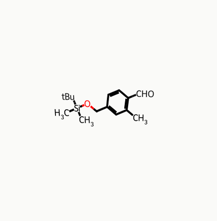 Cc1cc(CO[Si](C)(C)C(C)(C)C)ccc1C=O